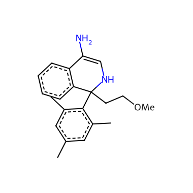 COCCC1(c2c(C)cc(C)cc2C)NC=C(N)c2ccccc21